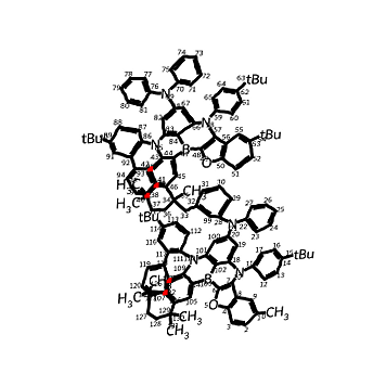 Cc1ccc2oc3c(c2c1)N(c1ccc(C(C)(C)C)cc1)c1cc(N(c2ccccc2)c2cccc(CC4(C)CCC(C)(C)c5cc6c(cc54)B4c5oc7ccc(C(C)(C)C)cc7c5N(c5ccc(C(C)(C)C)cc5)c5cc(N(c7ccccc7)c7ccccc7)cc(c54)N6c4ccc(C(C)(C)C)cc4-c4ccccc4)c2)cc2c1B3c1cc3c(cc1N2c1ccc(C(C)(C)C)cc1-c1ccccc1)C(C)(C)CCC3(C)C